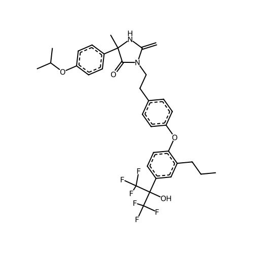 C=C1NC(C)(c2ccc(OC(C)C)cc2)C(=O)N1CCc1ccc(Oc2ccc(C(O)(C(F)(F)F)C(F)(F)F)cc2CCC)cc1